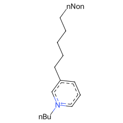 CCCCCCCCCCCCCCc1ccc[n+](CCCC)c1